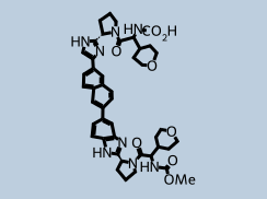 COC(=O)NC(C(=O)N1CCC[C@H]1c1nc2cc(-c3ccc4cc(-c5c[nH]c([C@@H]6CCCN6C(=O)C(NC(=O)O)C6CCOCC6)n5)ccc4c3)ccc2[nH]1)C1CCOCC1